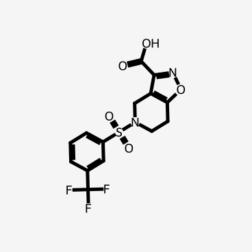 O=C(O)c1noc2c1CN(S(=O)(=O)c1cccc(C(F)(F)F)c1)CC2